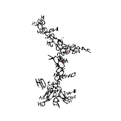 CC(=O)O[C@H]1[C@H](O)[C@@H](O)[C@H](O[C@@H]2[C@H](O)[C@@H](O[C@@H]3O[C@@H](C)[C@H](O[C@@H]4OC[C@@H](O)[C@H](O[C@@H]5OC[C@@H](O)[C@H](O)[C@H]5O)[C@H]4O)[C@@H](O)[C@H]3O)[C@H](OC(=O)[C@]34CCC(C)(C)C[C@H]3C3=CC[C@@H]5[C@@]6(C)CC[C@H](O[C@@H]7O[C@H](C(=O)O)[C@@H](O)[C@H](O[C@@H]8OC[C@@H](O)[C@H](O)[C@H]8O)[C@H]7O[C@@H]7O[C@H](CO)[C@H](O)[C@H](O)[C@H]7O)[C@@](C)(C=O)[C@@H]6CC[C@@]5(C)[C@]3(C)C[C@H]4O)O[C@@H]2C)O[C@@H]1C